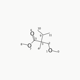 COCC(C)(C(=O)OC)C(C)C